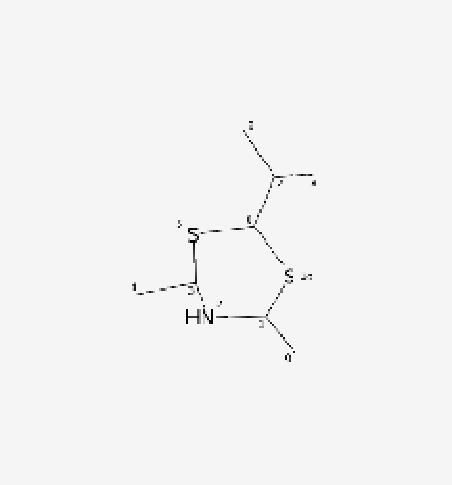 CC1NC(C)SC(C(C)C)S1